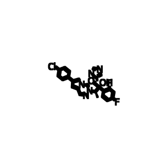 C[C@@H](n1ncc2cc(-c3ccc(Cl)cc3)cn2c1=O)C(O)(Cn1cncn1)c1ccc(F)cc1F